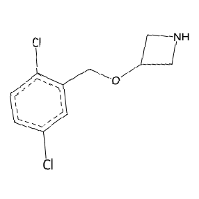 Clc1ccc(Cl)c(COC2CNC2)c1